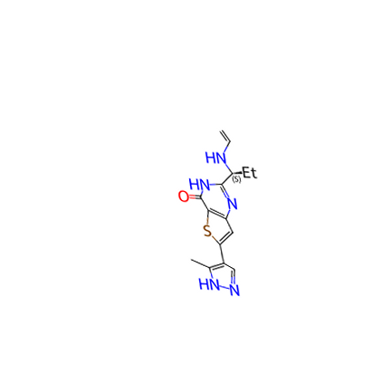 C=CN[C@@H](CC)c1nc2cc(-c3cn[nH]c3C)sc2c(=O)[nH]1